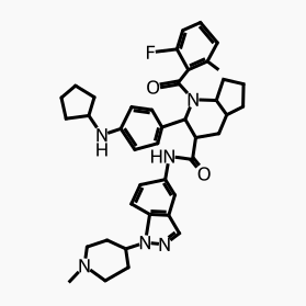 Cc1cccc(F)c1C(=O)N1C2CCCC2CC(C(=O)Nc2ccc3c(cnn3C3CCN(C)CC3)c2)C1c1ccc(NC2CCCC2)cc1